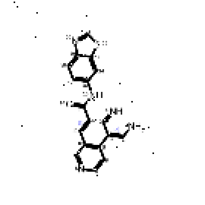 N=C/C(=C\N)c1ccncc1/C=C/C(=O)Nc1ccc2ncsc2c1